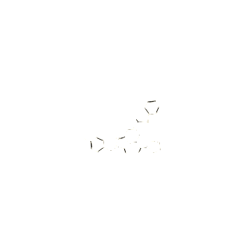 Cc1ccc(Cn2nc3n(c2=O)C(C(=O)N2CCCC2)CN(C(=O)Nc2ccc(C(F)(F)F)cc2)C3)cc1